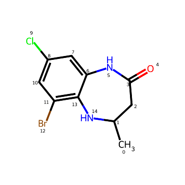 CC1CC(=O)Nc2cc(Cl)cc(Br)c2N1